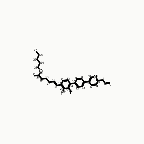 C=CCc1ccc(-c2ccc(-c3ccc(C=CCCCC(C)OCCCCC)c(F)c3F)cc2)cn1